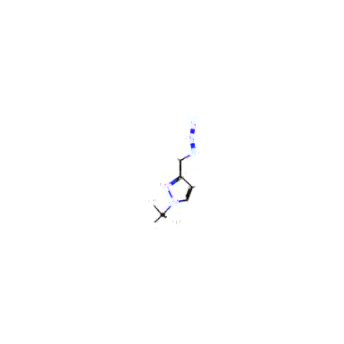 [2H]C([2H])([2H])n1ccc(CN=[N+]=[N-])n1